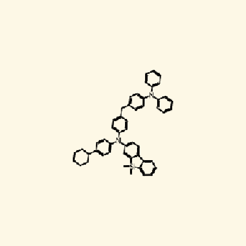 C[Si]1(C)c2ccccc2-c2ccc(N(c3ccc(Cc4ccc(N(c5ccccc5)c5ccccc5)cc4)cc3)c3ccc(C4CCCCC4)cc3)cc21